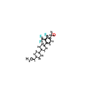 C=CC1CCC(C2CCC(c3ccc(C4CO4)c(F)c3C(F)F)CC2)CC1